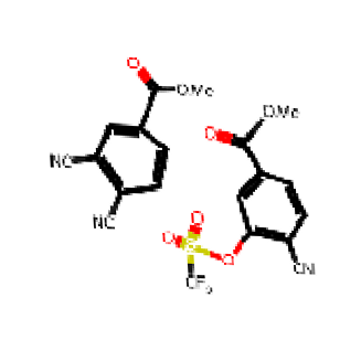 COC(=O)c1ccc(C#N)c(C#N)c1.COC(=O)c1ccc(C#N)c(OS(=O)(=O)C(F)(F)F)c1